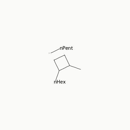 CCCCCCC1CCC1C.[CH2]CCCCC